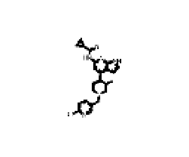 CC1CN(Cc2ccc(Cl)nc2)CC=C1c1cc(NC(=O)C2CC2)nc2[nH]ccc12